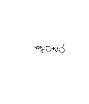 O=C(NO)c1ccc(NSc2cccc(F)c2)cc1